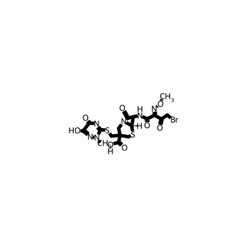 CON=C(C(=O)CBr)C(=O)NC1C(=O)N2CC(CSc3nc(=O)c(O)nn3C)(C(=O)O)CS[C@H]12